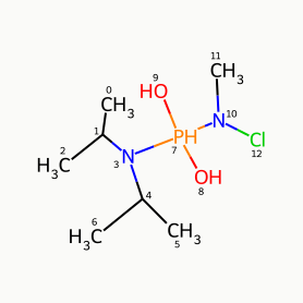 CC(C)N(C(C)C)[PH](O)(O)N(C)Cl